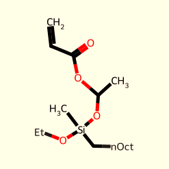 C=CC(=O)OC(C)O[Si](C)(CCCCCCCCC)OCC